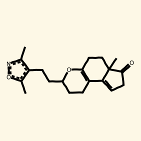 Cc1noc(C)c1CCC1CCC2=C(CCC3(C)C(=O)CC=C23)O1